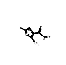 CCNC(=O)c1cc(C)oc1C(F)(F)F